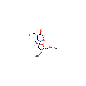 C[SiH](C)[C@]1(n2cc(CBr)c(=O)[nH]c2=O)C[C@H](OC(C)(C)C)[C@@H](COC(C)(C)C)O1